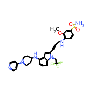 COc1cc(S(N)(=O)=O)ccc1NCC#Cc1cc2c(NC3CCN(c4ccncc4)CC3)cccc2n1CC(F)(F)F